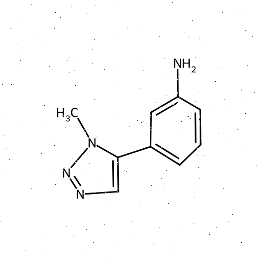 Cn1nncc1-c1cccc(N)c1